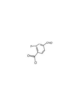 O=Cc1ccc(C(=O)Cl)c(F)c1